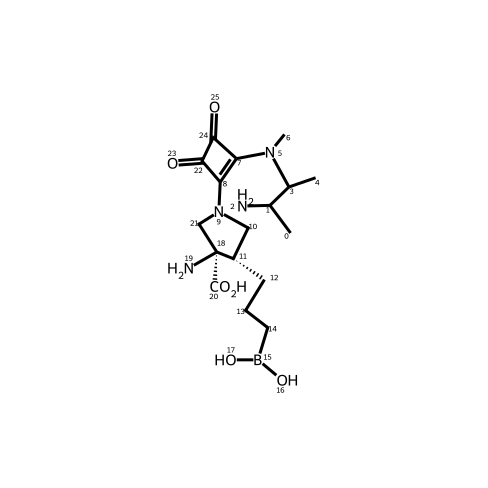 CC(N)C(C)N(C)c1c(N2C[C@H](CCCB(O)O)[C@](N)(C(=O)O)C2)c(=O)c1=O